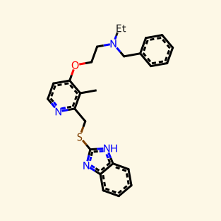 CCN(CCOc1ccnc(CSc2nc3ccccc3[nH]2)c1C)Cc1ccccc1